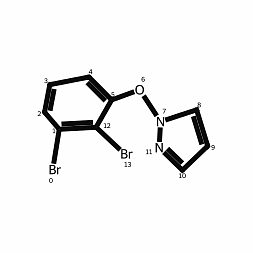 Brc1cccc(On2c[c]cn2)c1Br